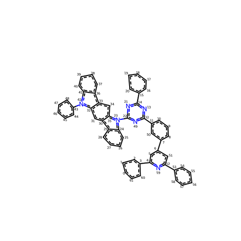 c1ccc(-c2cc(-c3cccc(-c4nc(-c5ccccc5)nc(-n5c6ccccc6c6cc7c(cc65)c5ccccc5n7-c5ccccc5)n4)c3)cc(-c3ccccc3)n2)cc1